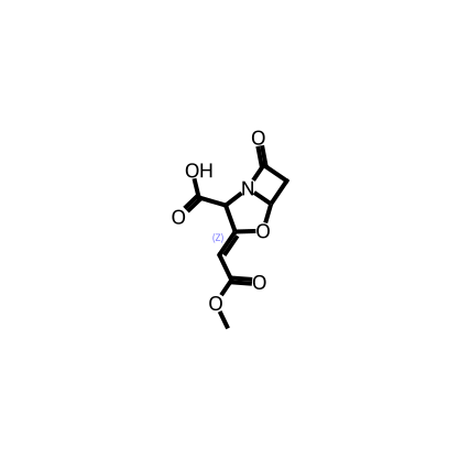 COC(=O)/C=C1\OC2CC(=O)N2C1C(=O)O